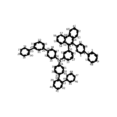 c1ccc(-c2ccc(-c3c(-c4cccc(N(c5ccc(-c6cccc(-c7ccccc7)c6)cc5)c5ccc(-c6ccccc6-c6ccccc6)cc5)c4)c4ccccc4c4ccccc34)cc2)cc1